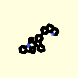 c1ccc2c(c1)-c1cc(-c3ccc4ccc5cccnc5c4c3)ccc1C21c2ccccc2-n2c3ccccc3c3cccc1c32